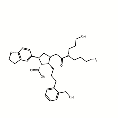 CCCCN(CCCO)C(=O)CN1C[C@H](c2ccc3c(c2)CCO3)[C@@H](C(=O)O)[C@@H]1CCCc1ccccc1CO